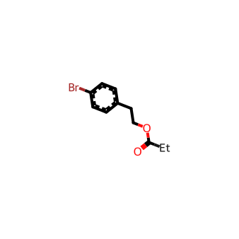 CCC(=O)OCCc1ccc(Br)cc1